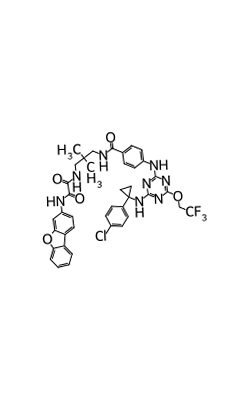 CC(C)(CNC(=O)C(=O)Nc1ccc2c(c1)oc1ccccc12)CNC(=O)c1ccc(Nc2nc(NC3(c4ccc(Cl)cc4)CC3)nc(OCC(F)(F)F)n2)cc1